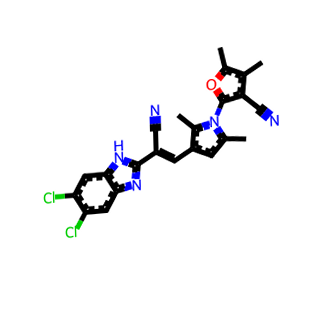 Cc1oc(-n2c(C)cc(C=C(C#N)c3nc4cc(Cl)c(Cl)cc4[nH]3)c2C)c(C#N)c1C